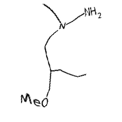 COC(C)CN(C)N